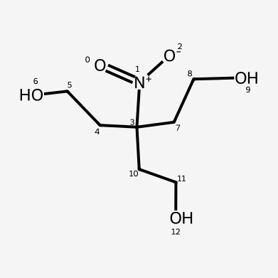 O=[N+]([O-])C(CCO)(CCO)CCO